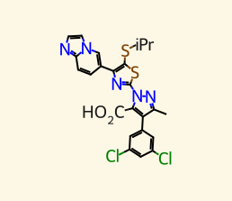 Cc1nn(-c2nc(-c3ccc4nccn4c3)c(SC(C)C)s2)c(C(=O)O)c1-c1cc(Cl)cc(Cl)c1